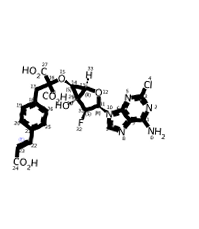 Nc1nc(Cl)nc2c1ncn2[C@@H]1O[C@@H]2[C@H](OC(Cc3ccc(/C=C/C(=O)O)cc3)(C(=O)O)C(=O)O)[C@]2(O)[C@@H]1F